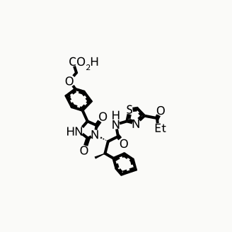 CCC(=O)c1csc(NC(=O)[C@H]([C@H](C)c2ccccc2)N2C(=O)NC(c3ccc(OCC(=O)O)cc3)C2=O)n1